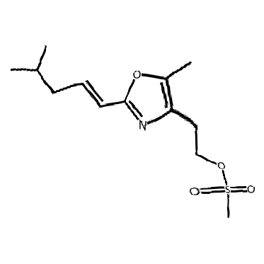 Cc1oc(C=CCC(C)C)nc1CCOS(C)(=O)=O